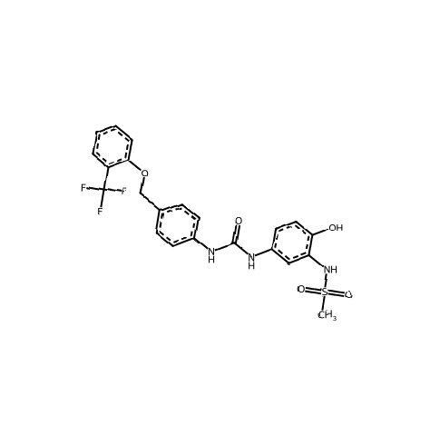 CS(=O)(=O)Nc1cc(NC(=O)Nc2ccc(COc3ccccc3C(F)(F)F)cc2)ccc1O